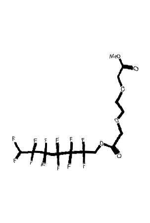 COC(=O)COCCOCC(=O)OCC(F)(F)C(F)(F)C(F)(F)C(F)(F)C(F)(F)C(F)F